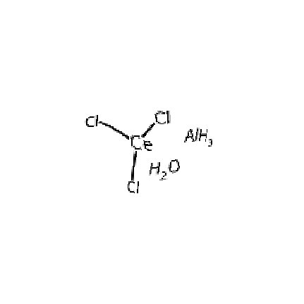 O.[AlH3].[Cl][Ce]([Cl])[Cl]